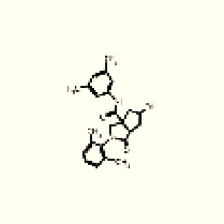 Cc1cccc(C)c1N1CC2(C(=O)Nc3cc(C(F)(F)F)cc(C(F)(F)F)c3)CC(O)CC2C1=O